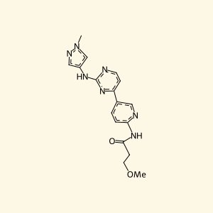 COCCC(=O)Nc1ccc(-c2ccnc(Nc3cnn(C)c3)n2)cn1